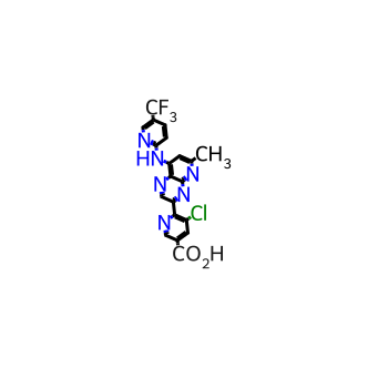 Cc1cc(Nc2ccc(C(F)(F)F)cn2)c2ncc(-c3ncc(C(=O)O)cc3Cl)nc2n1